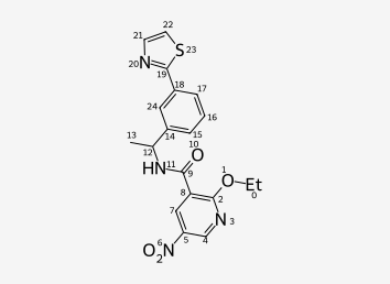 CCOc1ncc([N+](=O)[O-])cc1C(=O)NC(C)c1cccc(-c2nccs2)c1